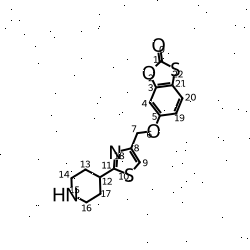 O=c1oc2cc(OCc3csc(C4CCNCC4)n3)ccc2s1